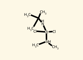 C[SiH](C)[Zr]([Cl])([Cl])[NH]C(C)(C)C